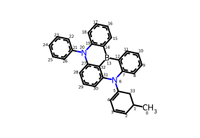 CC1C=CC=C(N2c3ccccc3B3c4ccccc4N(c4ccccc4)c4cccc2c43)C1